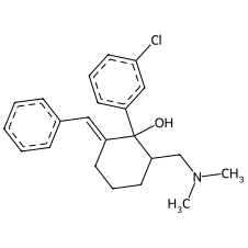 CN(C)CC1CCCC(=Cc2ccccc2)C1(O)c1cccc(Cl)c1